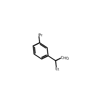 CCC(C=O)c1cccc(C(C)C)c1